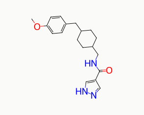 COc1ccc(CC2CCC(CNC(=O)c3cn[nH]c3)CC2)cc1